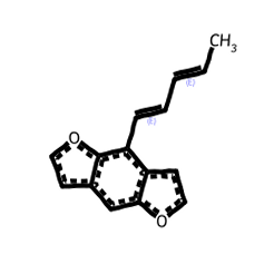 C/C=C/C=C/c1c2ccoc2cc2ccoc12